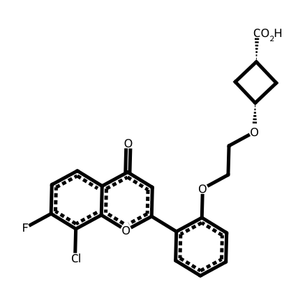 O=c1cc(-c2ccccc2OCCO[C@H]2C[C@@H](C(=O)O)C2)oc2c(Cl)c(F)ccc12